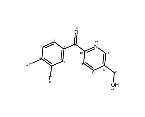 O=C(c1ccc(F)c(F)c1)c1ccc(CO)cn1